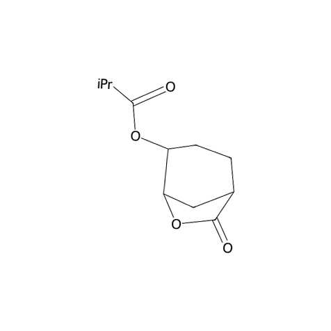 CC(C)C(=O)OC1CCC2CC1OC2=O